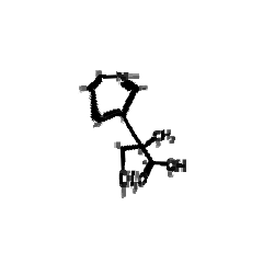 CCC(C)(C(=O)O)c1cccnc1